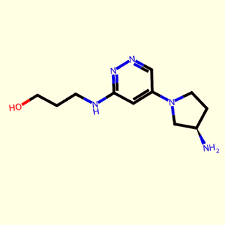 N[C@@H]1CCN(c2cnnc(NCCCO)c2)C1